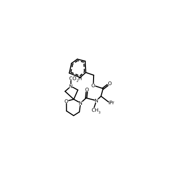 CC(C)C(C(=O)OCc1ccccc1)N(C)C(=O)N1CCCOC12CN(C(=O)O)C2